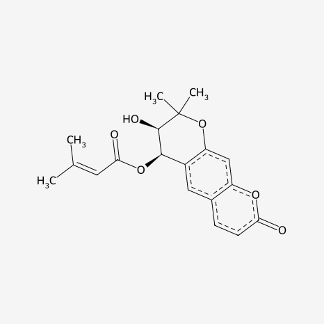 CC(C)=CC(=O)O[C@@H]1c2cc3ccc(=O)oc3cc2OC(C)(C)[C@@H]1O